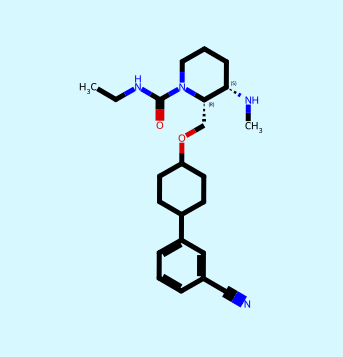 CCNC(=O)N1CCC[C@H](NC)[C@@H]1COC1CCC(c2cccc(C#N)c2)CC1